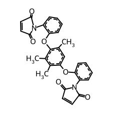 Cc1cc(Oc2ccccc2N2C(=O)C=CC2=O)c(C)c(C)c1Oc1ccccc1N1C(=O)C=CC1=O